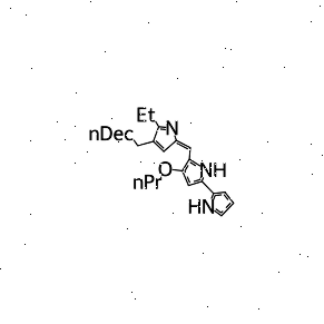 CCCCCCCCCCCC1=CC(=Cc2[nH]c(-c3ccc[nH]3)cc2OCCC)N=C1CC